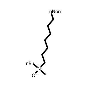 CCCCCCCCCCCCCCCC[N+](C)([O-])CCCC